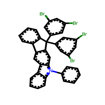 Brc1cc(Br)cc(C2(c3cc(Br)cc(Br)c3)c3ccccc3-c3cc4c5ccccc5n(-c5ccccc5)c4cc32)c1